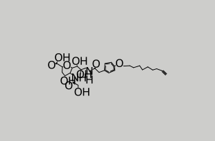 C#CCCCCCCCCOc1ccc(CC(=O)NC[C@@H](O)[C@@H](O)C2OC(C(=O)O)CC(O)C2NC(=O)CO)cc1